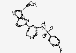 C#Cc1cnc2ccc(-c3cncc(NS(=O)(=O)c4ccc(F)cc4)c3)nn12